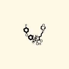 N[C@H](CCCN1CCOCC1)C(=O)N(O)S(=O)(=O)c1ccc(Oc2ccc(F)cc2)cc1